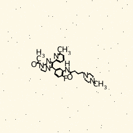 CC(=O)N1CCn2c1nc(-c1cccc(C)n1)c2-c1ccc(F)c(NC(=O)CCCN2CCN(C)CC2)c1